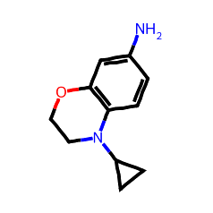 Nc1ccc2c(c1)OCCN2C1CC1